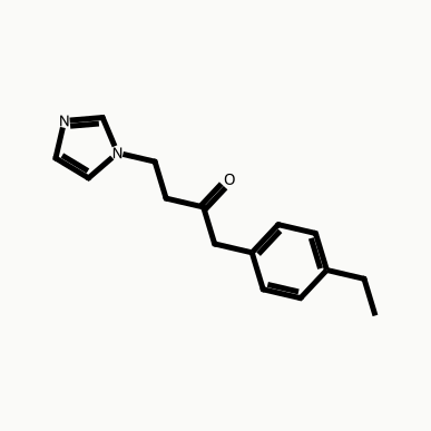 CCc1ccc(CC(=O)CCn2ccnc2)cc1